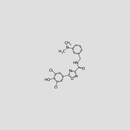 CN(C)c1cccc(CNC(=O)c2noc(-c3cc(Cl)c(O)c(Cl)c3)n2)c1